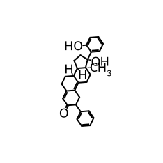 C[C@]12CCC3=C4CC(c5ccccc5)C(=O)C=C4CC[C@H]3[C@@H]1CC[C@]2(O)c1ccccc1O